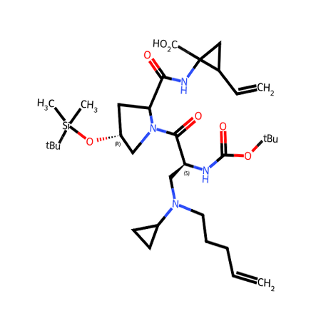 C=CCCCN(C[C@H](NC(=O)OC(C)(C)C)C(=O)N1C[C@H](O[Si](C)(C)C(C)(C)C)CC1C(=O)NC1(C(=O)O)CC1C=C)C1CC1